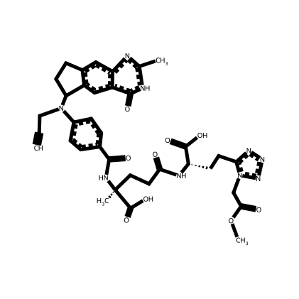 C#CCN(c1ccc(C(=O)N[C@@](C)(CCC(=O)N[C@@H](CCc2nnnn2CC(=O)OC)C(=O)O)C(=O)O)cc1)C1CCc2cc3nc(C)[nH]c(=O)c3cc21